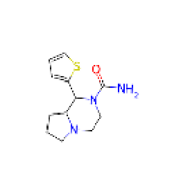 NC(=O)N1CCN2CCCC2C1c1cccs1